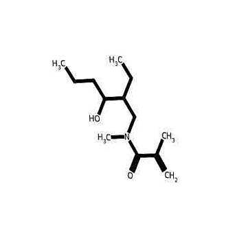 C=C(C)C(=O)N(C)CC(CC)C(O)CCC